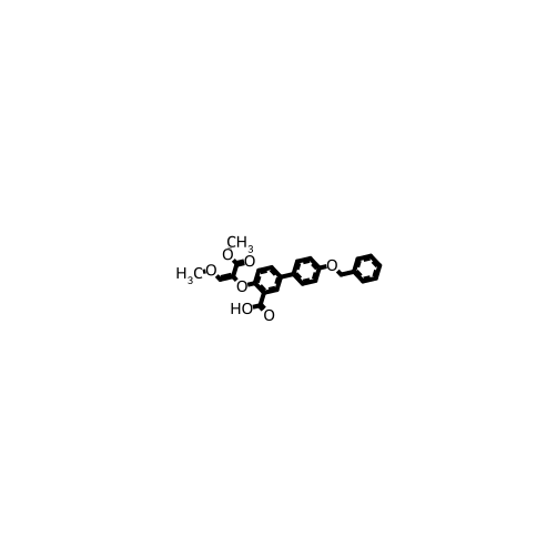 CO/C=C(/Oc1ccc(-c2ccc(OCc3ccccc3)cc2)cc1C(=O)O)C(=O)OC